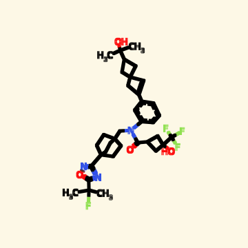 CC(C)(F)c1nc(C23CCC(CN(C(=O)C4CC(O)(C(F)(F)F)C4)c4cccc(C5=CC6(C5)CC(C(C)(C)O)C6)c4)(CC2)CC3)no1